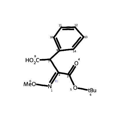 CO/N=C(/C(=O)OC(C)(C)C)C(C(=O)O)c1ccccc1